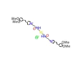 COc1ccc(C=Cc2cc[n+](CCCC(=O)NCCSSCCNC(=O)CCC[n+]3ccc(C=Cc4ccc(OC)c(OC)c4)cc3)cc2)cc1OC.[Cl-].[Cl-]